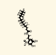 O=C(CCC(F)(F)C(F)(F)C(F)(F)C(F)(F)CC(F)(F)C(F)(F)C(F)(F)F)NCCc1cc(O)c(O)cc1[N+](=O)[O-]